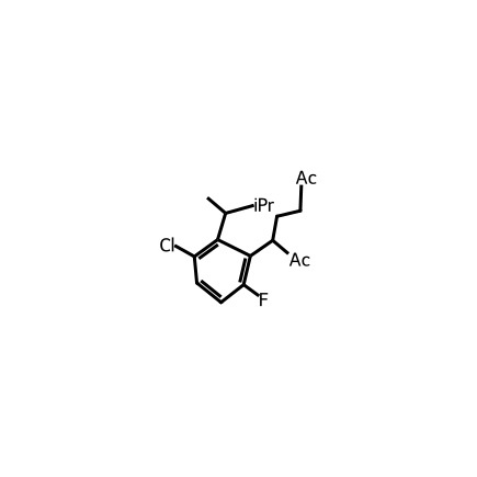 CC(=O)CCC(C(C)=O)c1c(F)ccc(Cl)c1C(C)C(C)C